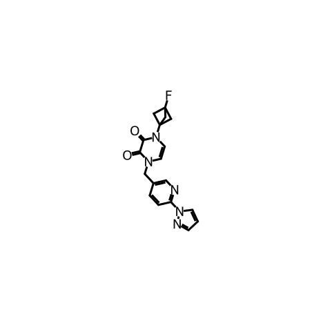 O=c1c(=O)n(C23CC(F)(C2)C3)ccn1Cc1ccc(-n2cccn2)nc1